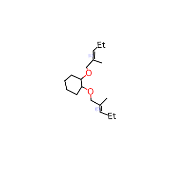 CC/C=C(\C)COC1CCCCC1OC/C(C)=C/CC